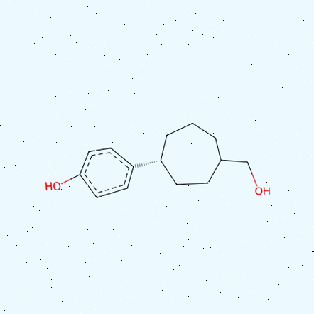 OCC1CCC[C@@H](c2ccc(O)cc2)CC1